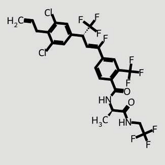 C=CCc1c(Cl)cc([C@@H](/C=C(\F)c2ccc(C(=O)N[C@H](C)C(=O)NCC(F)(F)F)c(C(F)(F)F)c2)C(F)(F)F)cc1Cl